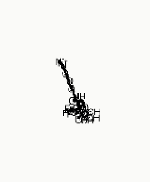 [N-]=[N+]=NCCOCCOCCOCCNC(=O)c1ccc(O[C@@H]2O[C@H](CO)[C@H](O)[C@H](O)[C@H]2O)c(OS(=O)(=O)OC(=O)C(F)(F)F)c1